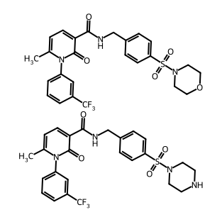 Cc1ccc(C(=O)NCc2ccc(S(=O)(=O)N3CCNCC3)cc2)c(=O)n1-c1cccc(C(F)(F)F)c1.Cc1ccc(C(=O)NCc2ccc(S(=O)(=O)N3CCOCC3)cc2)c(=O)n1-c1cccc(C(F)(F)F)c1